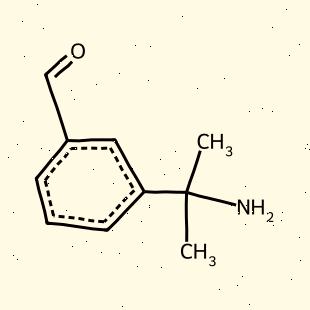 CC(C)(N)c1cccc(C=O)c1